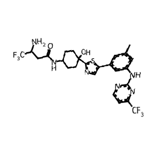 Cc1cc(Nc2nccc(C(F)(F)F)n2)cc(-c2cnc(C3(O)CCC(NC(=O)CC(N)C(F)(F)F)CC3)s2)c1